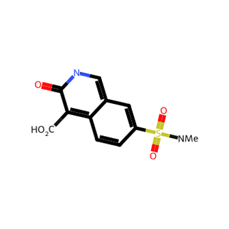 CNS(=O)(=O)c1ccc2c(c1)=C[N]C(=O)C=2C(=O)O